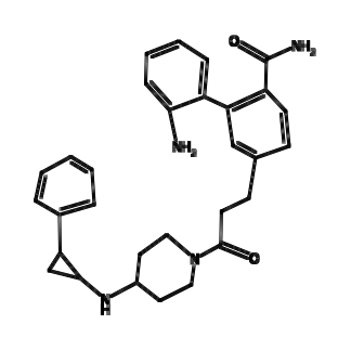 NC(=O)c1ccc(CCC(=O)N2CCC(NC3CC3c3ccccc3)CC2)cc1-c1ccccc1N